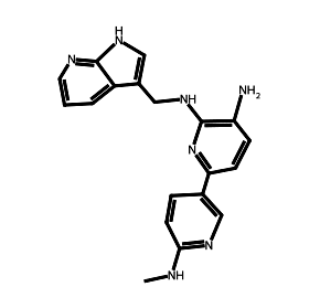 CNc1ccc(-c2ccc(N)c(NCc3c[nH]c4ncccc34)n2)cn1